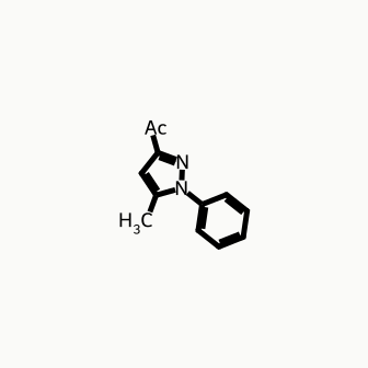 CC(=O)c1cc(C)n(-c2ccccc2)n1